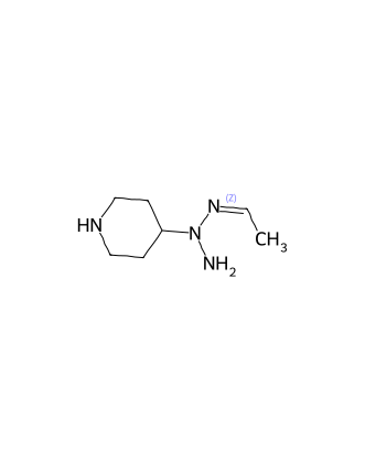 C/C=N\N(N)C1CCNCC1